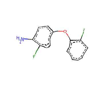 Nc1ccc(Oc2ccccc2F)cc1F